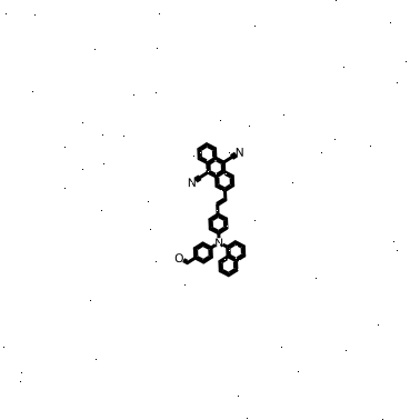 N#Cc1c2ccccc2c(C#N)c2cc(C=Cc3ccc(N(c4ccc(C=O)cc4)c4cccc5ccccc45)cc3)ccc12